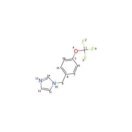 FC(F)(F)Oc1ccc(Cn2ccnc2)cc1